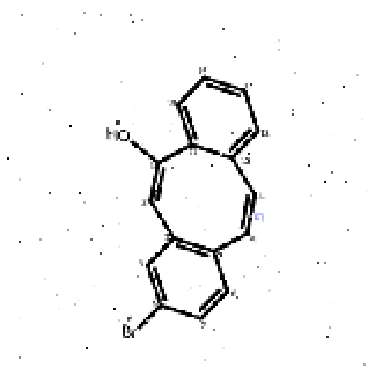 OC1=Cc2cc(Br)ccc2/C=C\c2ccccc21